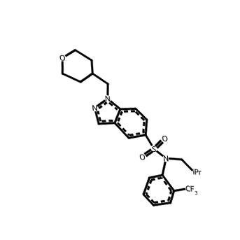 CC(C)CN(c1ccccc1C(F)(F)F)S(=O)(=O)c1ccc2c(cnn2CC2CCOCC2)c1